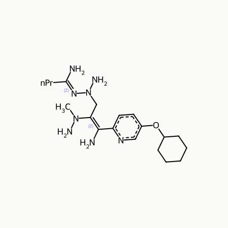 CCC/C(N)=N/N(N)C/C(=C(/N)c1ccc(OC2CCCCC2)cn1)N(C)N